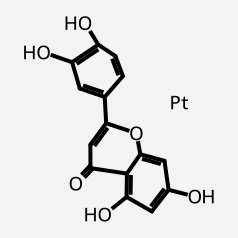 O=c1cc(-c2ccc(O)c(O)c2)oc2cc(O)cc(O)c12.[Pt]